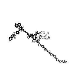 COCCOCCOCCOCCOCCOCCOCCOCCC(=O)NCCCC[C@H](NC(=O)CNC(=O)C(CC(=O)O)SC[C@H](N)C(=O)O)C(=O)NCCCCCCN1N=C(c2ccc(NC(=O)N3Cc4ccncc4C3)cc2)CC(c2cccc3ncccc23)C1=O